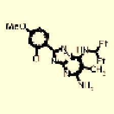 CCC(CC)Nc1c(C)c(N)nc2nc(-c3ccc(OC)cc3Cl)nn12